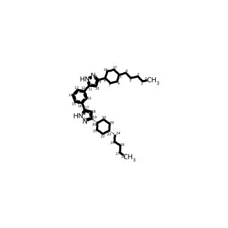 CCCCCC1CCC(c2cc(-c3cccc(-c4cc([C@H]5CC[C@@H](CCCCC)CC5)n[nH]4)c3)[nH]n2)CC1